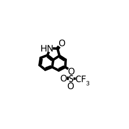 O=C1Nc2cccc3cc(OS(=O)(=O)C(F)(F)F)cc1c23